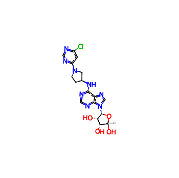 C[C@@]1(O)O[C@@H](n2cnc3c(N[C@H]4CCN(c5cc(Cl)ncn5)C4)ncnc32)[C@@H](O)[C@H]1O